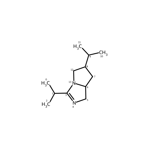 CC(C)C1=NCC2CC(C(C)C)CN12